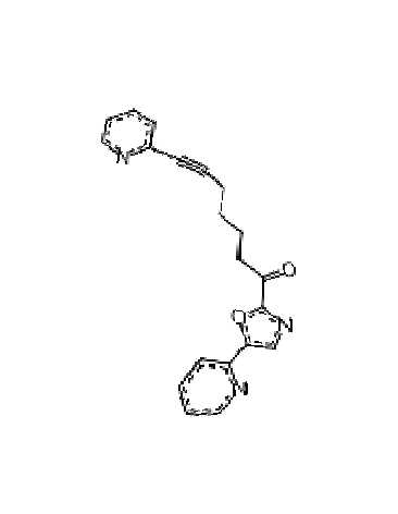 O=C(CCCCC#Cc1ccccn1)c1ncc(-c2ccccn2)o1